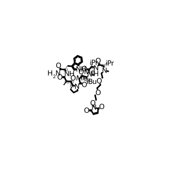 CC[C@H](C)[C@@H]([C@@H](CC(=O)N1CCC[C@H]1[C@H](OC)[C@@H](C)C(=O)N[C@@H](Cc1c[nH]c2ccccc12)C(N)=O)OC)N(C)C(=O)[C@@H](NC(=O)[C@H](C(C)C)N(C)CCOCCOCCON1C(=O)C=CC1=O)C(C)C